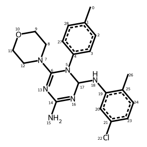 Cc1ccc(N2C(N3CCOCC3)=NC(N)=NC2Nc2cc(Cl)ccc2C)cc1